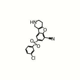 N#Cc1cc(S(=O)(=O)c2cccc(Cl)c2)cc2c3c(oc12)CCNC3